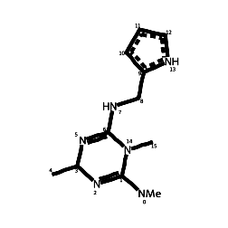 CNC1=NC(C)N=C(NCc2ccc[nH]2)N1C